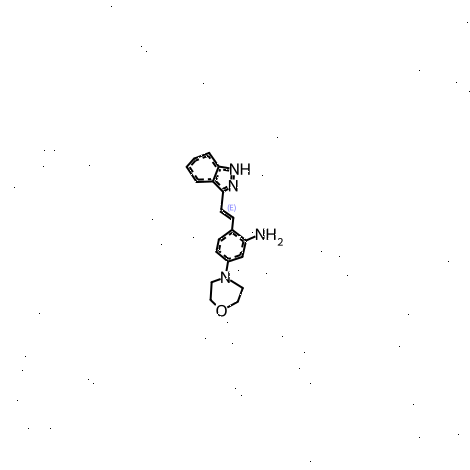 Nc1cc(N2CCOCC2)ccc1/C=C/c1n[nH]c2ccccc12